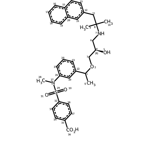 CC(OC[C@H](O)CNC(C)(C)Cc1ccc2ccccc2c1)c1cccc(N(C)S(=O)(=O)c2ccc(C(=O)O)cc2)c1